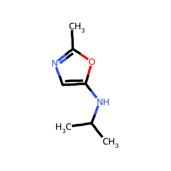 Cc1ncc(NC(C)C)o1